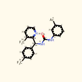 CC(=O)c1cccc(NC(=O)N[C@@H](c2ccc(C(F)(F)F)cc2)c2ncccc2C(F)(F)F)c1